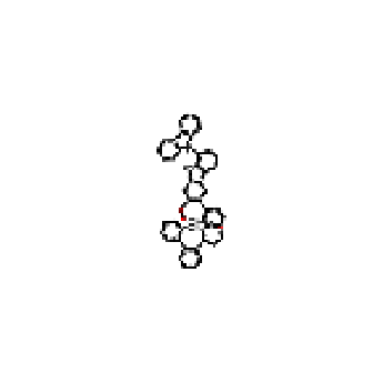 c1ccc2c(c1)-c1ccccc1[Si]1(c3ccccc3-2)c2ccccc2-c2cc3sc4c(-n5c6ccccc6c6ccccc65)cccc4c3cc2-c2ccccc21